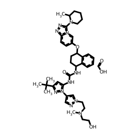 CC1CCCCN1c1nnc2ccc(OC3CCC(NC(=O)Nc4cc(C(C)(C)C)nn4-c4cnn(CCN(C)CCO)c4)c4ccccc43)cn12.O=CO